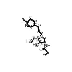 CCC(=O)N[C@H]1CN(CC=Cc2ccc(F)nc2)[C@@H](CO)[C@@H]1O